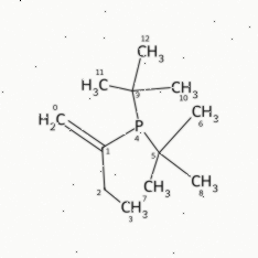 C=C(CC)P(C(C)(C)C)C(C)(C)C